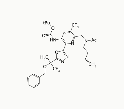 C=CCCN(Cc1nc(-c2nnc(C(C)(OCc3ccccc3)C(F)(F)F)o2)c(NC(=O)OC(C)(C)C)cc1C(F)(F)F)C(C)=O